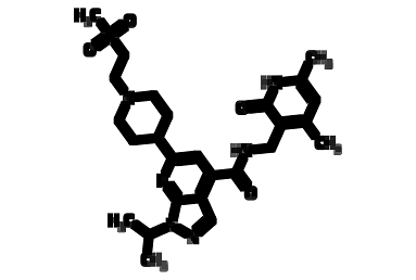 Cc1cc(C)c(CNC(=O)c2cc(C3CCN(CCS(C)(=O)=O)CC3)nc3c2cnn3C(C)C)c(=O)[nH]1